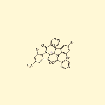 Cc1cc(Br)c2c(c1)C(=O)/C(=C1/C(=O)c3cc(Br)cc(Br)c3N1C(=O)c1ccncc1)N2C(=O)c1ccncc1